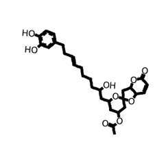 CC(=O)OC1CC(CC(O)CCCC/C=C/CCc2ccc(O)c(O)c2)OC2(C1)CC1OC(=O)C=CC1O2